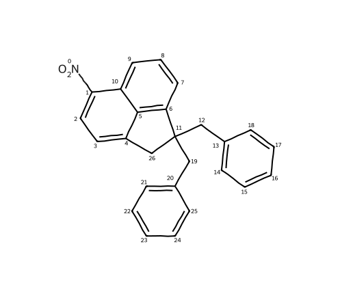 O=[N+]([O-])c1ccc2c3c(cccc13)C(Cc1ccccc1)(Cc1ccccc1)C2